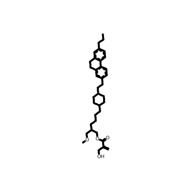 C=C(CO)C(=O)OCC(CCCCC1CCC(CCc2ccc3c(c2)CCc2cc(CCC)ccc2-3)CC1)COC